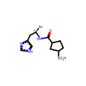 CC(=O)[C@H](Cc1c[nH]cn1)NC(=O)C1CCC(S(=O)(=O)O)C1